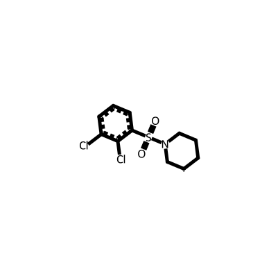 O=S(=O)(c1cccc(Cl)c1Cl)N1C[CH]CCC1